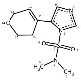 CN(C)S(=O)(=O)n1cncc1C1=CCOCC1